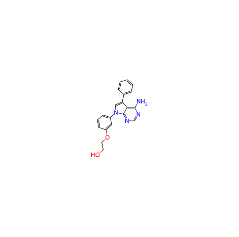 Nc1ncnc2c1c(-c1ccccc1)cn2-c1cccc(OCCO)c1